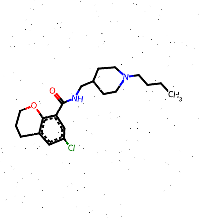 CCCCN1CCC(CNC(=O)c2cc(Cl)cc3c2OCCC3)CC1